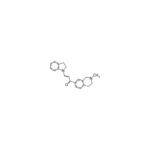 CN1CCc2ccc(C(=O)/C=C/N3CCc4ccccc43)cc2C1